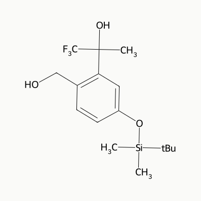 CC(O)(c1cc(O[Si](C)(C)C(C)(C)C)ccc1CO)C(F)(F)F